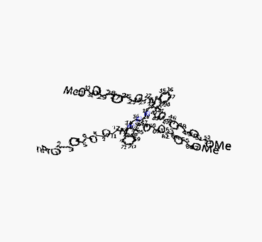 CCCOCCOCCOCCOCCN1/C(=C/C=C/C=C/C2=[N+](CCOCCOCCOCCOC)c3ccccc3C2(C)CCOCCOCCOCCOC)C(C)(CCOCCOCCOCCOC)c2ccccc21